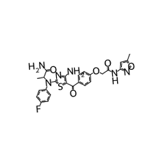 Cc1cc(NC(=O)COc2ccc(C(=O)c3sc(N(c4ccc(F)cc4)C(C)C(N)=O)nc3N)cc2)no1